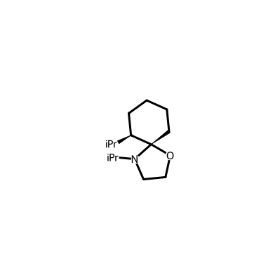 CC(C)[C@H]1CCCC[C@]12OCCN2C(C)C